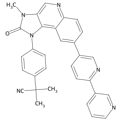 Cn1c(=O)n(-c2ccc(C(C)(C)C#N)cc2)c2c3cc(-c4ccc(-c5cccnc5)nc4)ccc3ncc21